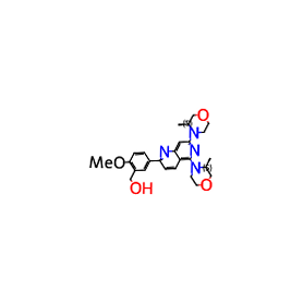 COc1ccc(-c2ccc3c(N4CCOC[C@@H]4C)nc(N4CCOC[C@@H]4C)cc3n2)cc1CO